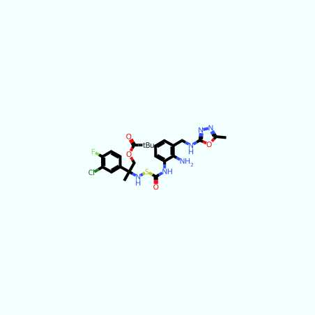 Cc1nnc(NCc2cccc(NC(=O)SNC(C)(COC(=O)C(C)(C)C)c3ccc(F)c(Cl)c3)c2N)o1